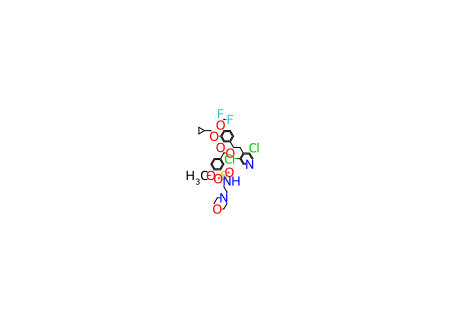 COc1ccc(C(=O)OC(Cc2c(Cl)cncc2Cl)c2ccc(OC(F)F)c(OCC3CC3)c2)cc1S(=O)(=O)NCCN1CCOCC1